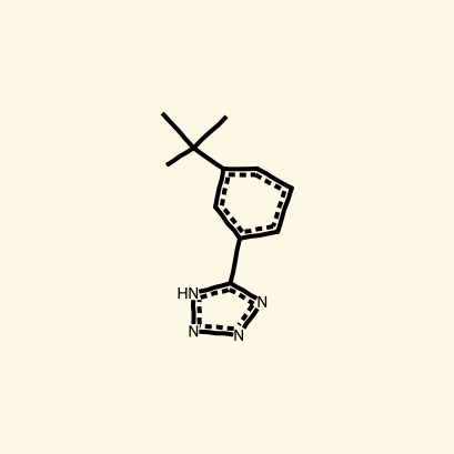 CC(C)(C)c1cccc(-c2nnn[nH]2)c1